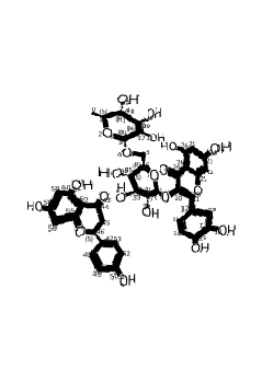 C[C@@H]1O[C@@H](OC[C@H]2O[C@@H](Oc3c(-c4ccc(O)c(O)c4)oc4cc(O)cc(O)c4c3=O)[C@H](O)[C@@H](O)[C@@H]2O)[C@H](O)[C@H](O)[C@H]1O.O=C1C[C@@H](c2ccc(O)cc2)Oc2cc(O)cc(O)c21